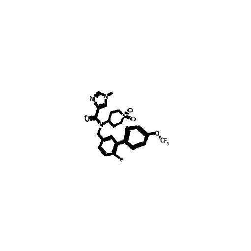 Cn1cnc(C(=O)N(Cc2ccc(F)c(-c3ccc(OC(F)(F)F)cc3)c2)C2CCS(=O)(=O)CC2)c1